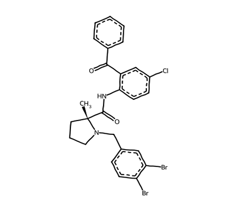 C[C@]1(C(=O)Nc2ccc(Cl)cc2C(=O)c2ccccc2)CCCN1Cc1ccc(Br)c(Br)c1